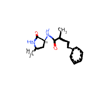 CC1C[C@H](NC(=O)C(C)CCc2ccccc2)C(=O)N1